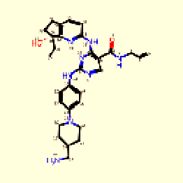 C=CCNC(=O)c1cnc(Nc2ccc(N3CCC(CN)CC3)cc2)nc1Nc1ccc2c(n1)[C@@](O)(CC)CC2